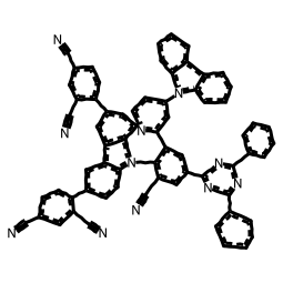 N#Cc1ccc(-c2ccc3c(c2)c2cc(-c4ccc(C#N)cc4C#N)ccc2n3-c2c(C#N)cc(-c3nc(-c4ccccc4)nc(-c4ccccc4)n3)cc2-c2cc(-n3c4ccccc4c4ccccc43)ccn2)c(C#N)c1